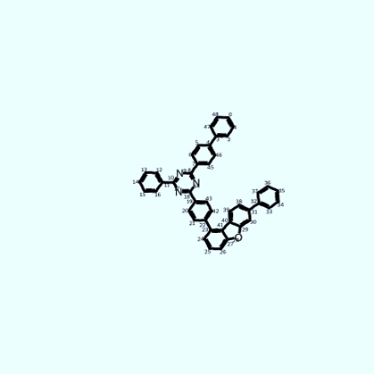 c1ccc(-c2ccc(-c3nc(-c4ccccc4)nc(-c4ccc(-c5cccc6oc7cc(-c8ccccc8)ccc7c56)cc4)n3)cc2)cc1